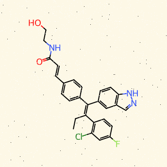 CCC(=C(c1ccc(C=CC(=O)NCCO)cc1)c1ccc2[nH]ncc2c1)c1ccc(F)cc1Cl